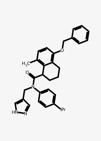 Cc1ccc(OCc2ccccc2)c2c1C(C(=O)N(Cc1cn[nH]c1)c1ccc(C(C)C)cc1)CCC2